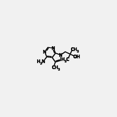 Cc1cn(CC(C)(C)O)c2ncnc(N)c12